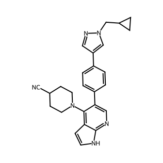 N#CC1CCN(c2c(-c3ccc(-c4cnn(CC5CC5)c4)cc3)cnc3[nH]ccc23)CC1